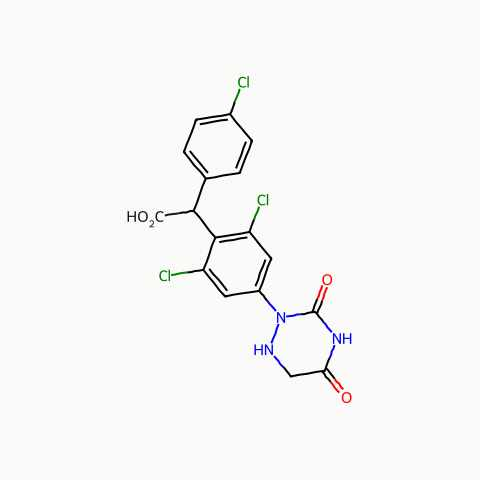 O=C1CNN(c2cc(Cl)c(C(C(=O)O)c3ccc(Cl)cc3)c(Cl)c2)C(=O)N1